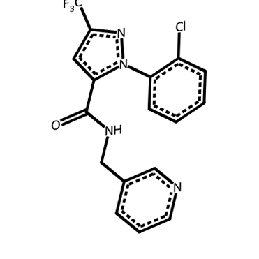 O=C(NCc1cccnc1)c1cc(C(F)(F)F)nn1-c1ccccc1Cl